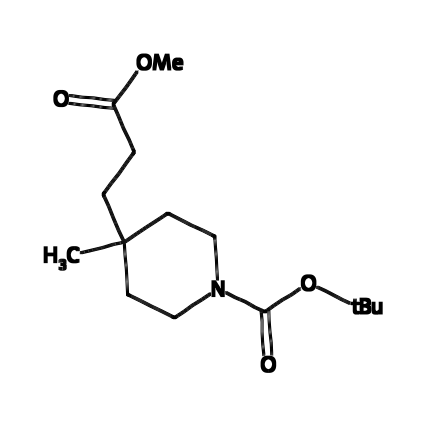 COC(=O)CCC1(C)CCN(C(=O)OC(C)(C)C)CC1